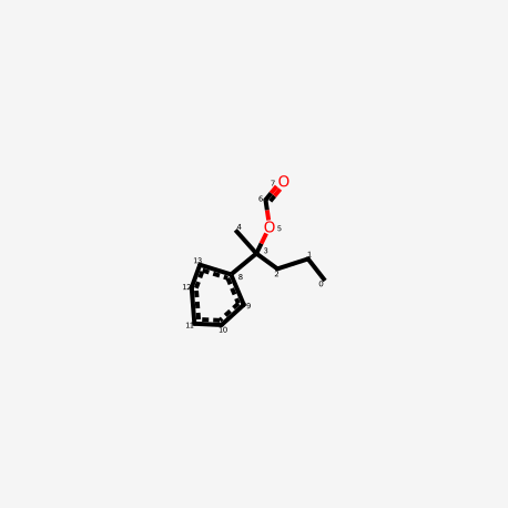 CCCC(C)(OC=O)c1ccccc1